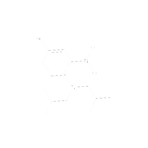 CC(C)CN(CC(C)C)c1ccc(Br)cc1[N+](=O)[O-]